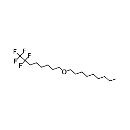 CCCCCCCCCOCCCCCCC(F)(F)C(F)(F)F